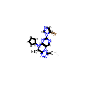 CC[C@@H]1c2nnc(C)n2-c2cnc(-n3cncc3Br)nc2N1C1CCCC1